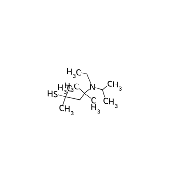 CCN(C(C)C)C(C)(C)CC(C)(C)S